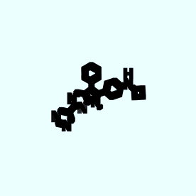 Cn1c(-c2ccc(NC3CCC3)cc2)c(-c2ccccc2)c2cnc(-c3cncnc3)nc21